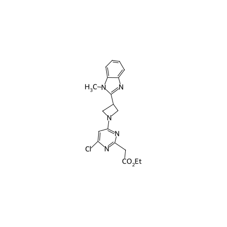 CCOC(=O)Cc1nc(Cl)cc(N2CC(c3nc4ccccc4n3C)C2)n1